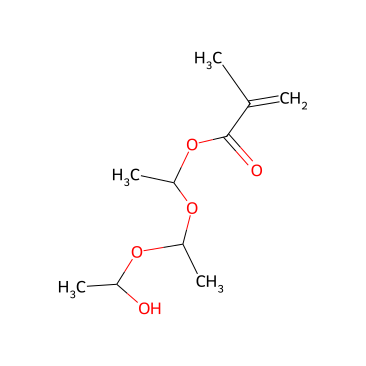 C=C(C)C(=O)OC(C)OC(C)OC(C)O